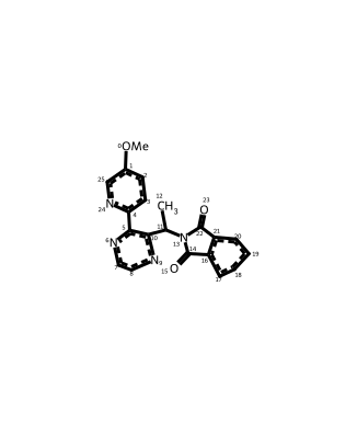 COc1ccc(-c2nccnc2C(C)N2C(=O)c3ccccc3C2=O)nc1